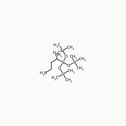 CC(CCN)[Si](O[Si](C)(C)C)(O[Si](C)(C)C)O[Si](C)(C)C